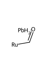 O=[CH][Ru].[PbH2]